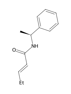 CC/C=C/C(=O)N[C@@H](C)c1ccccc1